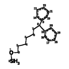 [SiH3]OCCCCCCC(c1ccccc1)c1ccccc1